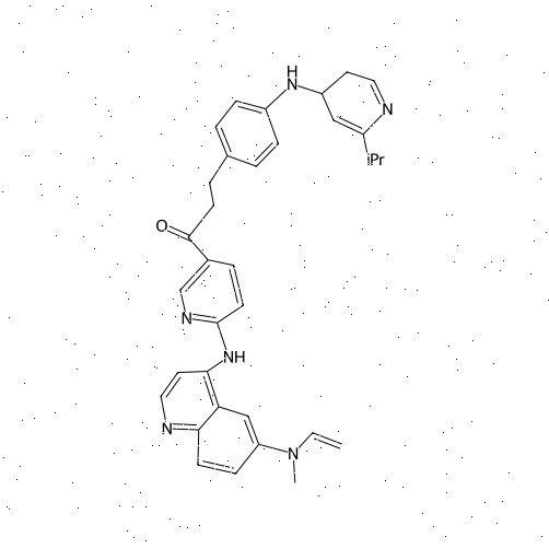 C=CN(C)c1ccc2nccc(Nc3ccc(C(=O)CCc4ccc(NC5C=C(C(C)C)N=CC5)cc4)cn3)c2c1